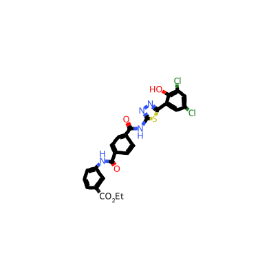 CCOC(=O)c1cccc(NC(=O)c2ccc(C(=O)Nc3nnc(-c4cc(Cl)cc(Cl)c4O)s3)cc2)c1